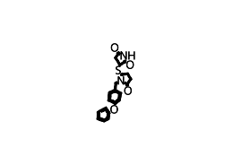 O=C1C[C@@H](SC2CCC(=O)N2Cc2ccc(Oc3ccccc3)cc2)C(=O)N1